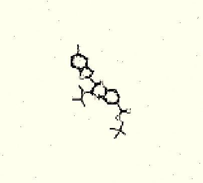 CC(C)N(C)c1nc2cc(C(=O)OCC(C)(C)C)ccc2nc1-c1cc2cc(F)ccc2o1